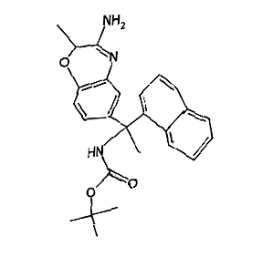 CC1Oc2ccc(C(C)(NC(=O)OC(C)(C)C)c3cccc4ccccc34)cc2N=C1N